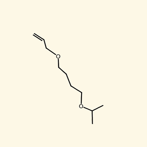 C=CCOCCCCOC(C)C